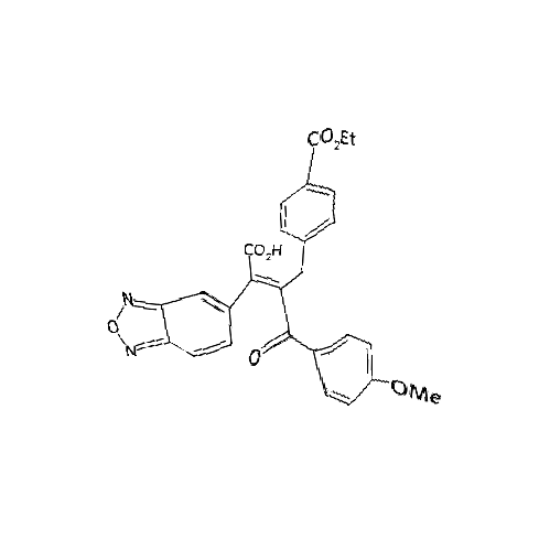 CCOC(=O)c1ccc(C/C(C(=O)c2ccc(OC)cc2)=C(\C(=O)O)c2ccc3nonc3c2)cc1